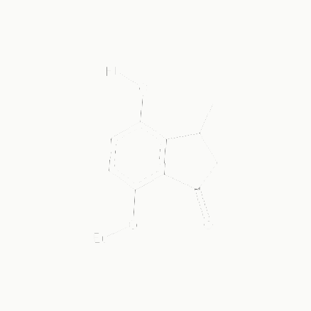 CCOc1ccc(OCC)c2c1C(=O)CC2C